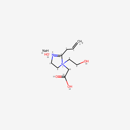 C=CCC1=NCC[N+]1(CCO)CC(=O)O.[NaH].[OH-]